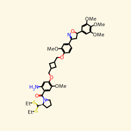 CCSC(SCC)[C@@H]1CCCN1C(=O)c1cc(OC)c(OCC2CC(COc3ccc(C4=NOC(c5cc(OC)c(OC)c(OC)c5)C4)cc3OC)C2)cc1N